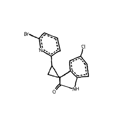 O=C1Nc2ccc(Cl)cc2C12CC2c1cccc(Br)n1